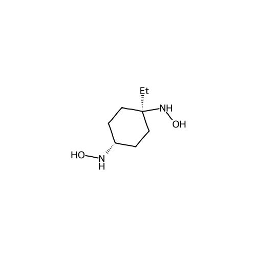 CC[C@]1(NO)CC[C@H](NO)CC1